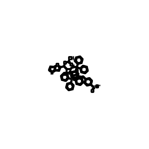 CC(=O)OC(c1cc2sccc2o1)C1C(=O)N(C(C(=O)OCc2ccc([N+](=O)[O-])cc2)=P(c2ccccc2)(c2ccccc2)c2ccccc2)C1SC(c1ccccc1)(c1ccccc1)c1ccccc1